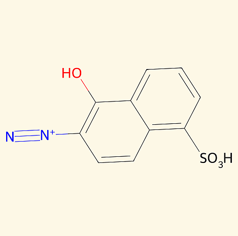 N#[N+]c1ccc2c(S(=O)(=O)O)cccc2c1O